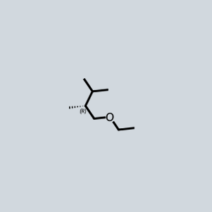 CCOC[C@H](C)C(C)C